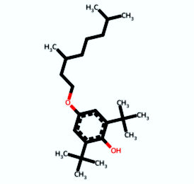 CC(C)CCCC(C)CCOc1cc(C(C)(C)C)c(O)c(C(C)(C)C)c1